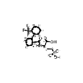 O=C(N[C@@H](CCS(=O)(=O)O)C(=O)O)c1ccccc1-c1ccccc1C(F)(F)F